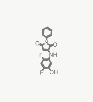 O=C1C=C(Nc2cc(O)c(F)cc2F)C(=O)N1c1ccccc1